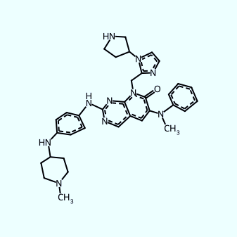 CN1CCC(Nc2ccc(Nc3ncc4cc(N(C)c5ccccc5)c(=O)n(Cc5nccn5C5CCNC5)c4n3)cc2)CC1